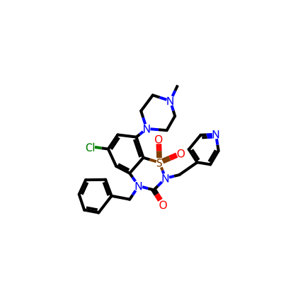 CN1CCN(c2cc(Cl)cc3c2S(=O)(=O)N(Cc2ccncc2)C(=O)N3Cc2ccccc2)CC1